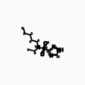 CCCCCN(CC)S(=O)(=O)c1nc[nH]n1